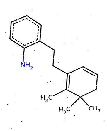 CC1=C(CCc2ccccc2N)C=CCC1(C)C